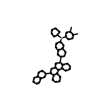 Cc1ccc(N(c2ccccc2)c2ccc3cc(-c4cc5cc(-c6ccc7ccccc7c6)c6ccccc6c5c5ccccc45)ccc3c2)cc1C